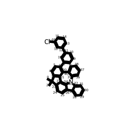 CC1(C)c2ccc(-c3cccc(-c4cccc(Cl)c4)c3)c3c2-c2c1ccc1c4ccccc4n(c21)-c1ccccc1-3